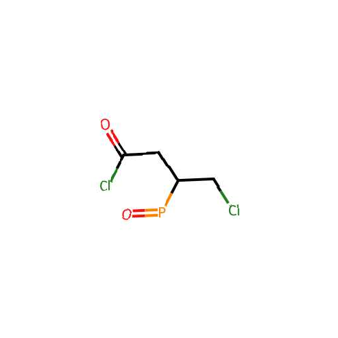 O=PC(CCl)CC(=O)Cl